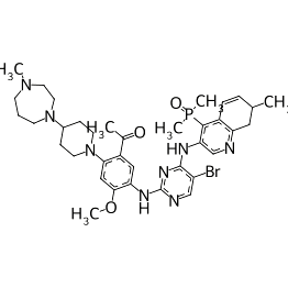 COc1cc(N2CCC(N3CCCN(C)CC3)CC2)c(C(C)=O)cc1Nc1ncc(Br)c(Nc2cnc3c(c2P(C)(C)=O)C=CC(C)C3)n1